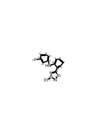 CCn1nnc(-c2ccccc2Nc2cccc(F)c2)n1